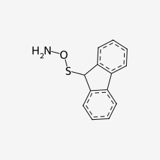 NOSC1c2ccccc2-c2ccccc21